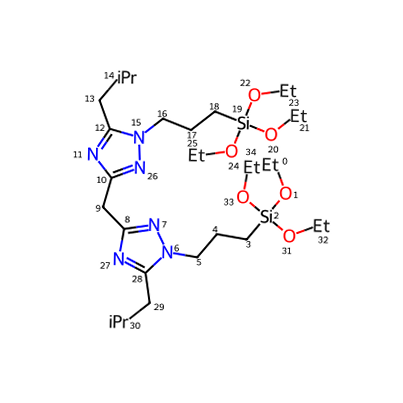 CCO[Si](CCCn1nc(Cc2nc(CC(C)C)n(CCC[Si](OCC)(OCC)OCC)n2)nc1CC(C)C)(OCC)OCC